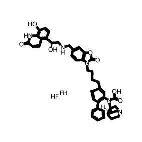 F.F.O=C(O)N(c1cc(CCCCn2c(=O)oc3cc(CNC[C@@H](O)c4ccc(O)c5[nH]c(=O)ccc45)ccc32)ccc1-c1ccccc1)[C@H]1CN2CCC1CC2